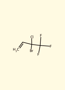 C=CC(Cl)(Br)C(F)(F)F